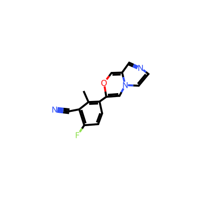 Cc1c(C2=CN3C=CN=CC3=CO2)ccc(F)c1C#N